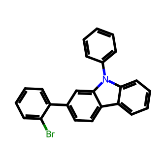 Brc1ccccc1-c1ccc2c3ccccc3n(-c3ccccc3)c2c1